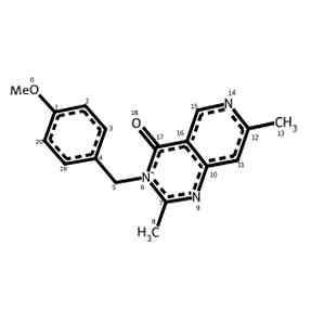 COc1ccc(Cn2c(C)nc3cc(C)ncc3c2=O)cc1